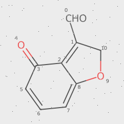 O=CC1=C2C(=O)C=CC=C2OC1